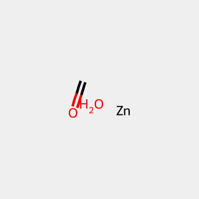 C=O.O.[Zn]